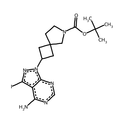 CC(C)(C)OC(=O)N1CCC2(CC(n3nc(I)c4c(N)ncnc43)C2)C1